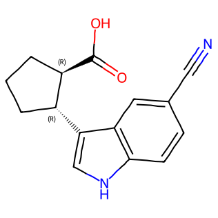 N#Cc1ccc2[nH]cc([C@@H]3CCC[C@H]3C(=O)O)c2c1